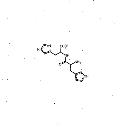 NC(Cc1c[nH]cn1)C(=O)NC(Cc1c[nH]cn1)C(=O)O